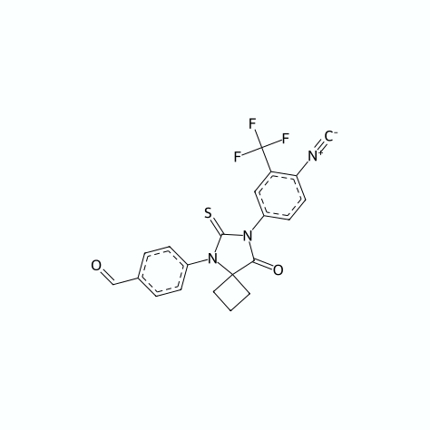 [C-]#[N+]c1ccc(N2C(=O)C3(CCC3)N(c3ccc(C=O)cc3)C2=S)cc1C(F)(F)F